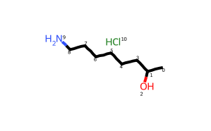 CC(O)CCCCCCN.Cl